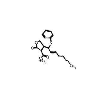 CCCCCC=CC(Sc1ccccc1)C1COC(=O)C1C(=O)OC